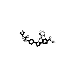 CCN[S+]([O-])c1cc(C(N)=O)ccc1-c1cnc(C2CCC(NC(=O)OC3COC3)CC2)s1